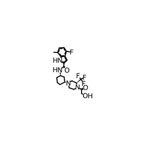 Cc1ccc(F)c2cc(C(=O)N[C@@H]3CCC[C@@H](N4CCN(C(=O)CO)[C@H](C(F)(F)F)C4)C3)[nH]c12